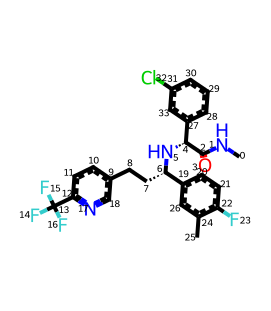 CNC(=O)[C@H](N[C@@H](CCc1ccc(C(F)(F)F)nc1)c1ccc(F)c(C)c1)c1cccc(Cl)c1